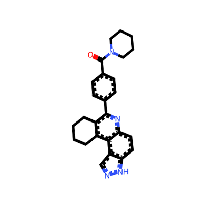 O=C(c1ccc(-c2nc3ccc4[nH]ncc4c3c3c2CCCC3)cc1)N1CCCCC1